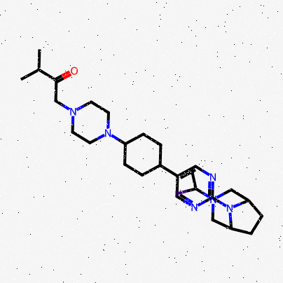 CC(C)C(=O)CN1CCN(C2CCC(c3cnc(N4C5CCC4CN(C(C)I)C5)nc3)CC2)CC1